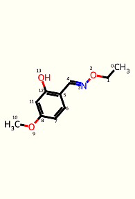 CCON=Cc1ccc(OC)cc1O